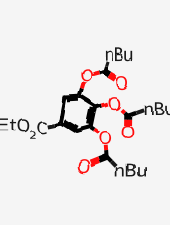 CCCCC(=O)Oc1cc(C(=O)OCC)cc(OC(=O)CCCC)c1OC(=O)CCCC